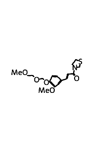 COCCOCOc1ccc(/C=C/C(=O)N2CCSC2)cc1OC